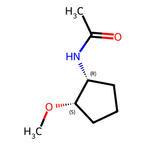 CO[C@H]1CCC[C@H]1NC(C)=O